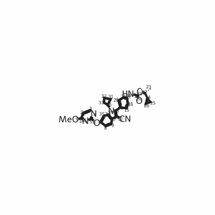 COc1ccnc(Oc2ccc3c(C#N)c(-c4ccc(NC(=O)O[C@H](C)C5CC5)cc4)n(C4CCC4)c3c2)n1